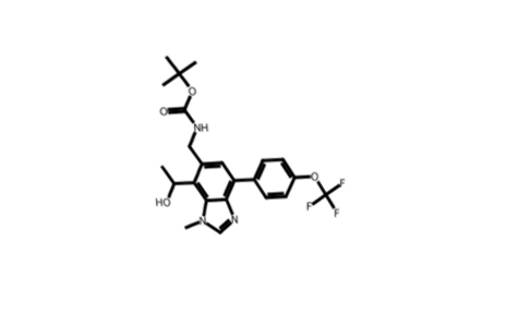 CC(O)c1c(CNC(=O)OC(C)(C)C)cc(-c2ccc(OC(F)(F)F)cc2)c2ncn(C)c12